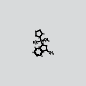 CC1CC([Si](C)(C)C2CCCC2)c2ccccc21